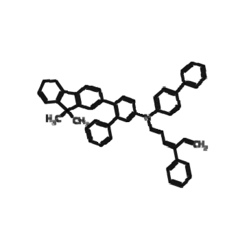 C=C/C(=C\C=C\N(c1ccc(-c2ccccc2)cc1)c1ccc(-c2ccc3c(c2)C(C)(C)C2=C3CCC=C2)c(-c2ccccc2)c1)c1ccccc1